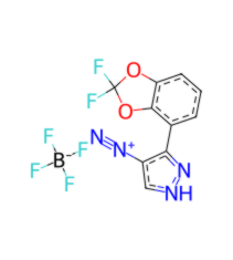 F[B-](F)(F)F.N#[N+]c1c[nH]nc1-c1cccc2c1OC(F)(F)O2